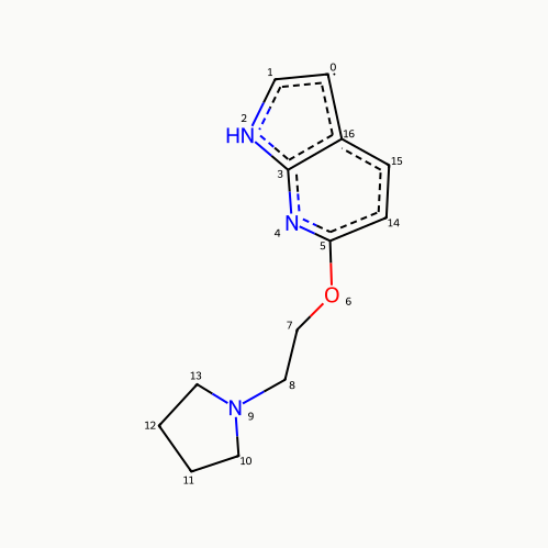 [c]1c[nH]c2nc(OCCN3CCCC3)ccc12